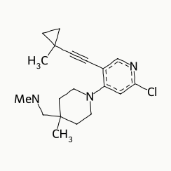 CNCC1(C)CCN(c2cc(Cl)ncc2C#CC2(C)CC2)CC1